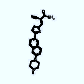 CN1CCN(c2ccc3cc(-c4ccc(/C=C(\C#N)C(N)=O)s4)ccc3c2)CC1